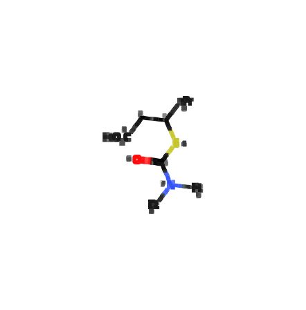 CCCC(CC(=O)OCC)SC(=O)N(CC)CC